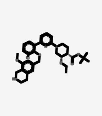 CCO[C@@H]1CN(c2cccc(-c3cccc(Cl)c3OCc3cc4c(c(OC)c3)CNCC4)n2)CC[C@@H]1C(=O)OC(C)(C)C